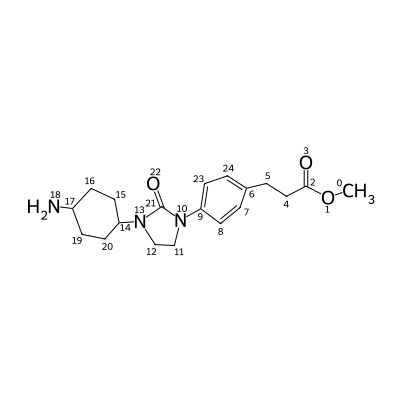 COC(=O)CCc1ccc(N2CCN(C3CCC(N)CC3)C2=O)cc1